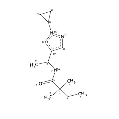 CCC(C)(C)C(=O)NC(C)c1cnn(C2CC2)c1